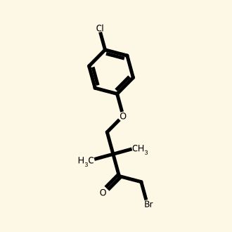 CC(C)(COc1ccc(Cl)cc1)C(=O)CBr